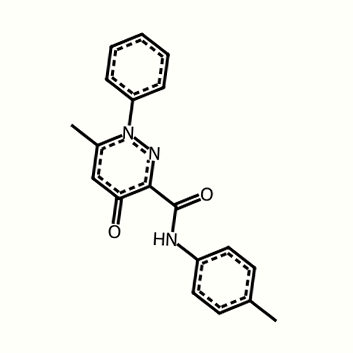 Cc1ccc(NC(=O)c2nn(-c3ccccc3)c(C)cc2=O)cc1